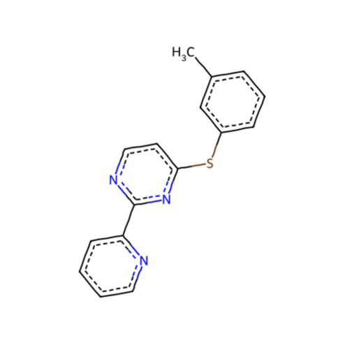 Cc1cccc(Sc2ccnc(-c3ccccn3)n2)c1